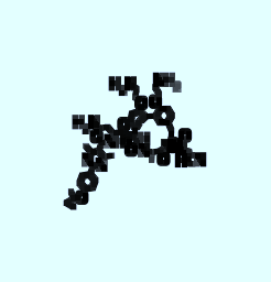 Cc1nc(-c2ccc(OC3(C)CC3)cc2)nc(C)c1C(=O)NC(CCN)C(=O)N(C)C1C(=O)NC(C)C(=O)NC(C(=O)NCC#N)Cc2ccc(OCCN)c(c2)-c2cc1ccc2OCCN